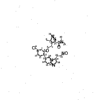 Cc1c(CCOc2cc(Cl)ccc2-c2ccc3ncc(CCN=O)n3c2)c(C(=O)N(C)C)nn1C